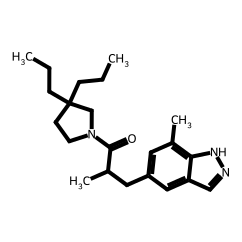 CCCC1(CCC)CCN(C(=O)C(C)Cc2cc(C)c3[nH]ncc3c2)C1